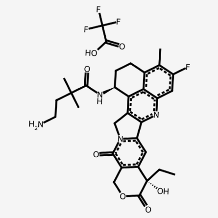 CC[C@@]1(O)C(=O)OCc2c1cc1n(c2=O)Cc2c-1nc1cc(F)c(C)c3c1c2[C@@H](NC(=O)C(C)(C)CCN)CC3.O=C(O)C(F)(F)F